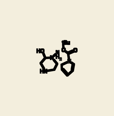 CC(C)(C)OC(=O)N1C=CC=CC1.NN1CCNCC1O